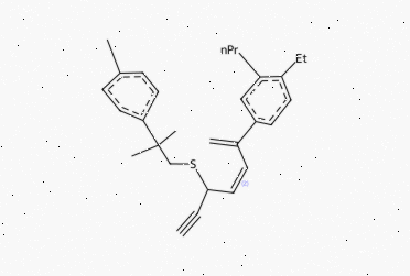 C#CC(/C=C\C(=C)c1ccc(CC)c(CCC)c1)SCC(C)(C)c1ccc(C)cc1